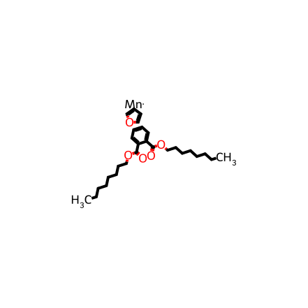 CCCCCCCCOC(=O)c1ccccc1C(=O)OCCCCCCCC.[Mn].c1ccoc1